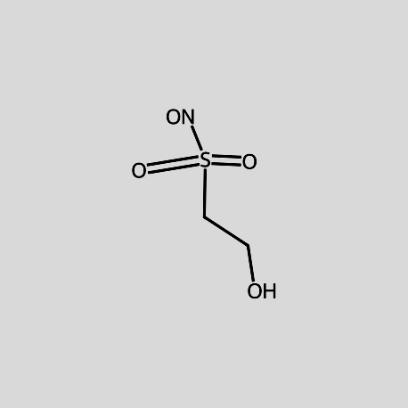 O=NS(=O)(=O)CCO